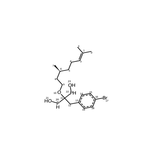 CC(C)=CCC[C@H](C)CCOC(Cc1ccc(Br)cc1)(PO)PO